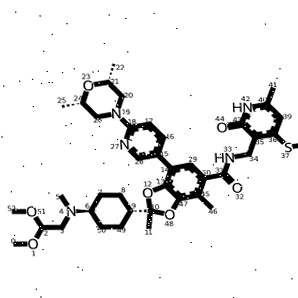 COC(CN(C)[C@H]1CC[C@H](C2(C)Oc3c(-c4ccc(N5C[C@@H](C)O[C@@H](C)C5)nc4)cc(C(=O)NCc4c(SC)cc(C)[nH]c4=O)c(C)c3O2)CC1)OC